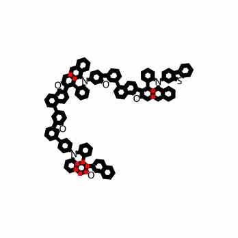 c1ccc(N(c2ccc(-c3cccc4c3oc3ccc(-c5cccc6c5ccc5c6oc6cccc(-c7ccccc7N(c7ccc8c(c7)oc7c(-c9cccc%10c9ccc9c%10oc%10cccc(-c%11ccccc%11N(c%11ccc%12c(c%11)sc%11ccccc%11%12)c%11cccc%12ccccc%11%12)c%109)cccc78)c7cccc8ccccc78)c65)cc34)cc2)c2cccc3ccccc23)c(-c2cccc3oc4c5ccccc5ccc4c23)c1